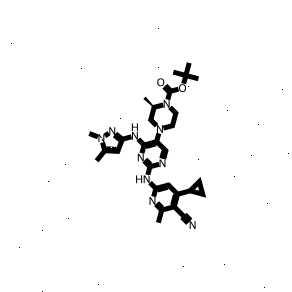 Cc1nc(Nc2ncc(N3CCN(C(=O)OC(C)(C)C)[C@H](C)C3)c(Nc3cc(C)n(C)n3)n2)cc(C2CC2)c1C#N